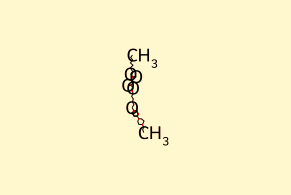 CCCCCCCOC(=O)CCC(=O)OCCCCCCOc1ccc(C2CCC(CCC)CC2)cc1